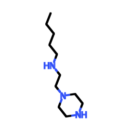 CCCCCNCCN1CCNCC1